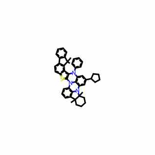 CC1(C)c2ccccc2-c2ccc3sc4c(c3c21)N(c1ccccc1)c1cc(C2CCCC2)cc2c1N4c1cccc3c1N2C1(C)CCCCC31C